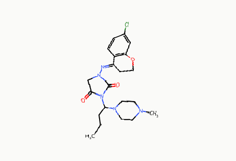 CCCC(N1CCN(C)CC1)N1C(=O)CN(/N=C2\CCOc3cc(Cl)ccc32)C1=O